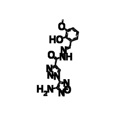 COc1cccc(C=NNC(=O)c2cn(-c3nonc3N)nn2)c1O